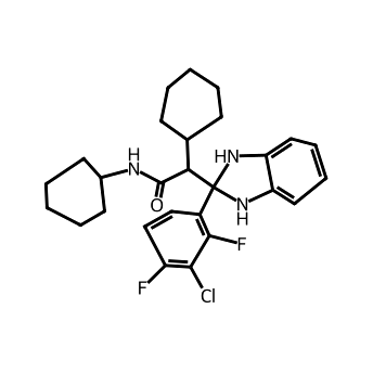 O=C(NC1CCCCC1)C(C1CCCCC1)C1(c2ccc(F)c(Cl)c2F)Nc2ccccc2N1